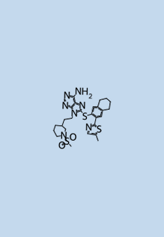 Cc1cnc(-c2cc3c(cc2Sc2nc4c(N)ncnc4n2CCC2CCCN(S(C)(=O)=O)C2)CCCC3)s1